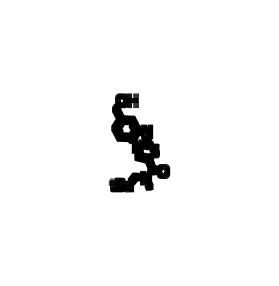 CN(CC(C)(C)C)C(=O)c1cn2c(nc3cc(CO)ccc32)s1